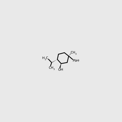 CC(C)[C@@H]1CC[C@@](C)([PbH])C[C@H]1O